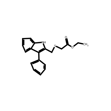 CCOC(=O)CSCc1[nH]c2ccccc2c1-c1ccccc1